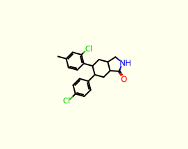 Cc1ccc(C2CC3CNC(=O)C3CC2c2ccc(Cl)cc2)c(Cl)c1